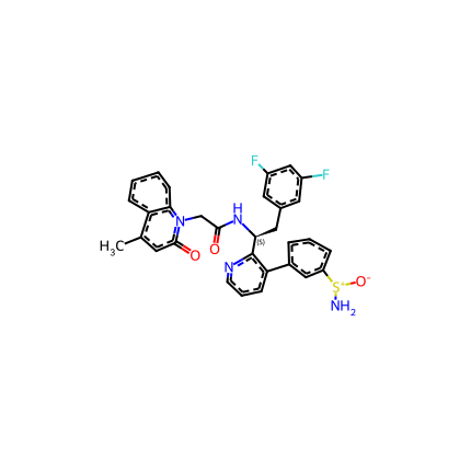 Cc1cc(=O)n(CC(=O)N[C@@H](Cc2cc(F)cc(F)c2)c2ncccc2-c2cccc([S+](N)[O-])c2)c2ccccc12